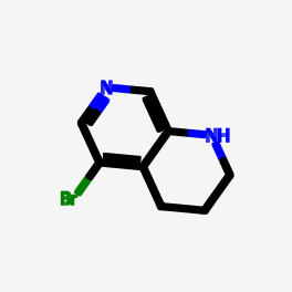 Brc1cncc2c1CCCN2